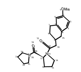 COc1ccc2c(c1)CCC(CC(=O)N1CCC[C@H]1C(=O)N1CCCC1)C2